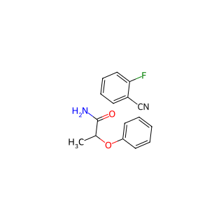 CC(Oc1ccccc1)C(N)=O.N#Cc1ccccc1F